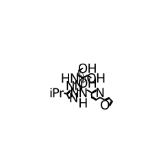 CC(C)c1cnn2c(NCc3ccc(-c4ccco4)nc3)nc(N[C@@H](CO)[C@H](O)CO)nc12